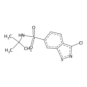 CC(C)(C)NS(=O)(=O)c1ccc2c(Cl)nsc2c1